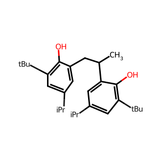 CC(C)c1cc(CC(C)c2cc(C(C)C)cc(C(C)(C)C)c2O)c(O)c(C(C)(C)C)c1